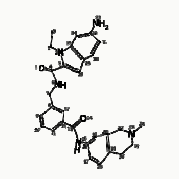 CCn1c(C(=O)NCc2cccc(C(=O)Nc3ccc4c(c3)CN(C)CC4)c2)cc2ccc(N)cc21